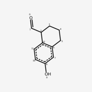 O=CC1CCCc2cc(O)ccc21